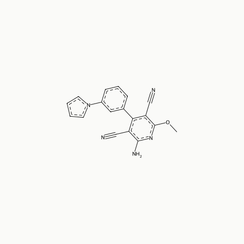 COc1nc(N)c(C#N)c(-c2cccc(-n3cccc3)c2)c1C#N